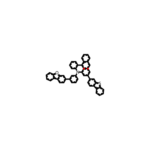 c1cc(-c2ccc3c(c2)oc2ccccc23)cc(N(c2cccc(-c3ccc4c(c3)sc3ccccc34)c2)c2ccccc2-c2cccc3ccccc23)c1